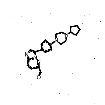 O=Cc1ccc2ncc(-c3ccc(N4CCN(C5CCCC5)CC4)cc3)n2n1